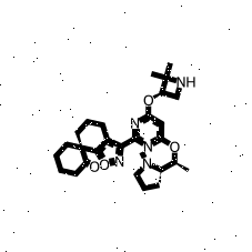 C[C@H](Oc1cc(O[C@@H]2CNC2(C)C)nc(-c2noc3c2CCC[C@@]32CCCCC2=O)n1)[C@@H]1CCCN1C